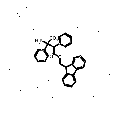 NC(C(=O)O)(c1ccccc1)C(C(=O)OCC1c2ccccc2-c2ccccc21)c1ccccc1